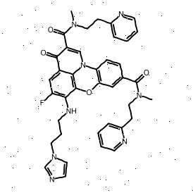 CN(CCc1ccccn1)C(=O)c1ccc2c(c1)Oc1c(NCCCn3ccnc3)c(F)cc3c(=O)c(C(=O)N(C)CCc4ccccn4)cn-2c13